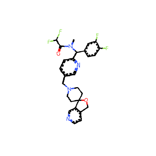 CN(C(=O)C(F)F)C(c1ccc(F)c(F)c1)c1ccc(CN2CCC3(CC2)OCc2ccncc23)cn1